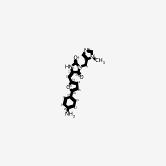 Cn1cncc1CN1C(=O)N/C(=C/c2ccc(-c3ccc(N)cc3)o2)C1=O